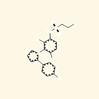 CCCS(=O)(=O)Nc1ccc(F)c(-n2cccc2-c2ccc(Cl)cc2)c1F